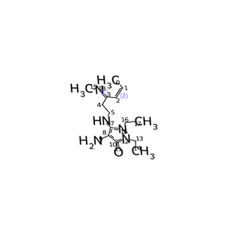 C/C=C\C(CCNc1c(N)c(=O)n(CC)n1CC)=N\C